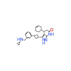 O=C1CC(C2CC=CCC2)c2c(n[nH]c2C2CC(c3cccc(CNC4CC4)c3)C2)N1